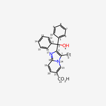 CCc1c(C(O)(c2ccccc2)c2ccccc2)nc2ccc(C(=O)O)cn12